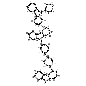 c1ccc(-n2c3ccccc3c3ccc(-c4cccc5c4c4ccccc4n5-c4ccc(-c5ccc(-c6cccc7sc8ccccc8c67)cc5)cc4)cc32)cc1